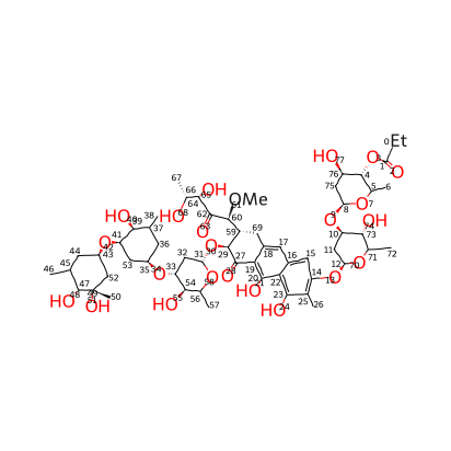 CCC(=O)O[C@@H]1C(C)O[C@@H](O[C@@H]2C[C@H](Oc3cc4cc5c(c(O)c4c(O)c3C)C(=O)[C@@H](O[C@H]3C[C@@H](O[C@@H]4CC(C)[C@H](O)[C@H](O[C@@H]6CC(C)[C@@H](O)[C@@](C)(O)C6)C4)[C@H](O)C(C)O3)[C@H]([C@H](OC)C(=O)[C@@H](O)[C@@H](C)O)C5)OC(C)[C@H]2O)C[C@H]1O